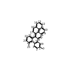 Cc1cccc(-c2[c]c3ccc4cccc5ccc(c2-c2cccc(C)c2)c3c45)c1